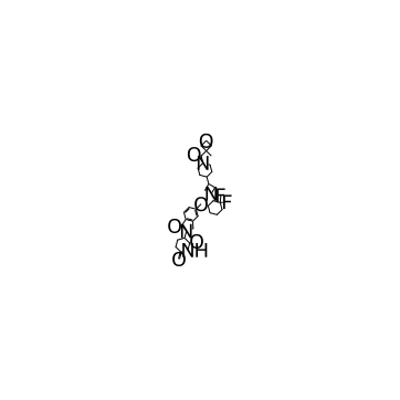 CC1(C(=O)N2CCC(C3CN([C@H]4[C@@H](Oc5ccc6c(c5)CN(C5CCC(=O)NC5=O)C6=O)CCCC4(F)F)C3)CC2)COC1